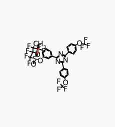 CC(F)(C(F)(F)F)C(F)(F)C(F)(F)S(=O)(=O)Oc1cccc(-c2nc(-c3ccc(OC(F)(F)F)cc3)nc(-c3ccc(OC(F)(F)F)cc3)n2)c1